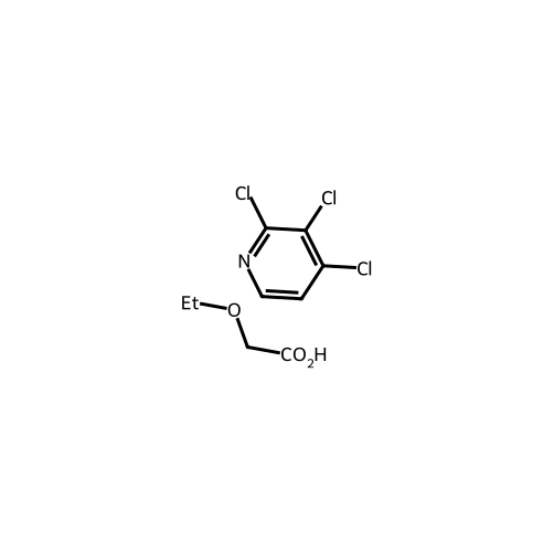 CCOCC(=O)O.Clc1ccnc(Cl)c1Cl